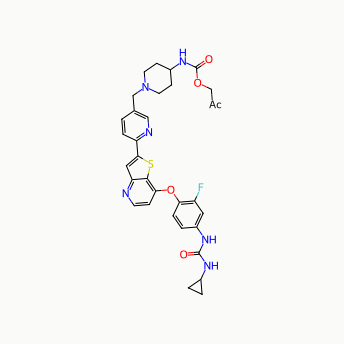 CC(=O)COC(=O)NC1CCN(Cc2ccc(-c3cc4nccc(Oc5ccc(NC(=O)NC6CC6)cc5F)c4s3)nc2)CC1